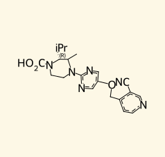 CC(C)[C@@H]1C(C)N(c2ncc(OCc3ccncc3C#N)cn2)CCN1C(=O)O